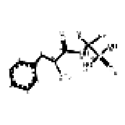 N[C@@H](Cc1ccccc1)C(=O)NC(F)(F)P(=O)(O)O